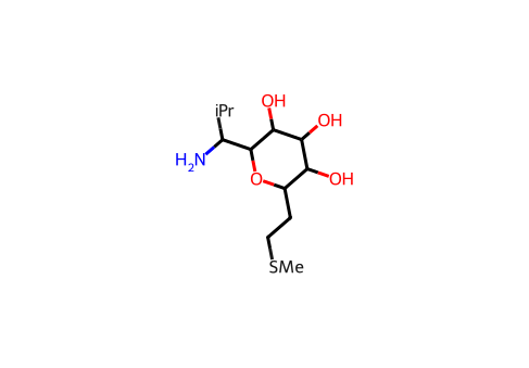 CSCCC1OC(C(N)C(C)C)C(O)C(O)C1O